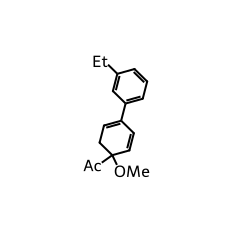 CCc1cccc(C2=CCC(OC)(C(C)=O)C=C2)c1